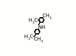 Cc1ccc(CNc2ccc(C(C)C)cc2)c(C)c1